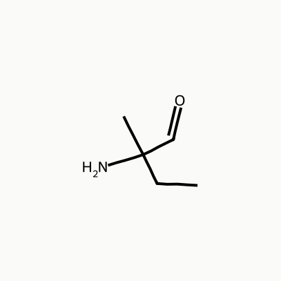 CCC(C)(N)C=O